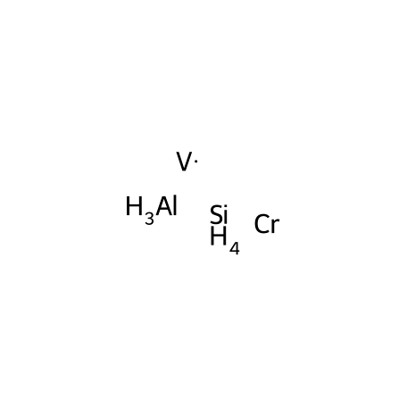 [AlH3].[Cr].[SiH4].[V]